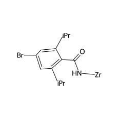 CC(C)c1cc(Br)cc(C(C)C)c1C(=O)[NH][Zr]